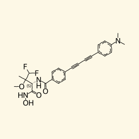 COC(C)(C(F)F)[C@H](NC(=O)c1ccc(C#CC#Cc2ccc(N(C)C)cc2)cc1)C(=O)NO